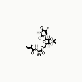 C/C=C(\C)C(=O)N[C@H](C(=O)OC[C@H]1O[C@@H](n2cc(F)c(=O)[nH]c2=O)[C@@H]2OC(C)(C)O[C@@H]21)C(C)C